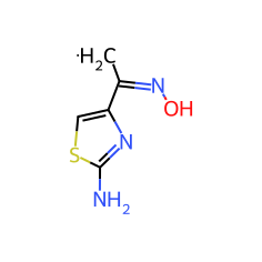 [CH2]/C(=N/O)c1csc(N)n1